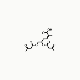 CC(=O)CC(=O)OCC(CC=C(C)C(=O)O)OC(=O)CC(C)=O